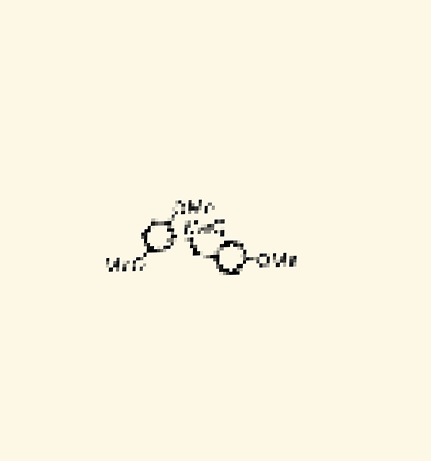 COc1ccc(OC)c(/C=C/c2ccc(OC)cc2OC)c1